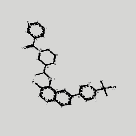 C[C@H](Nc1c(Cl)cnc2ccc(-c3cnc(C(C)(C)O)nc3)cc12)C1CCCN(C(=O)c2cccnc2)C1